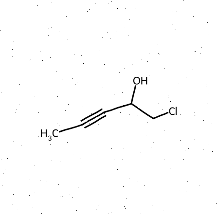 CC#CC(O)CCl